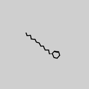 CCCCCCCCCCCC[C@H]1C=CCCC1